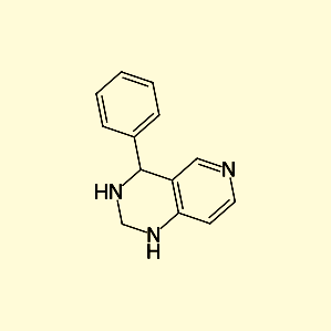 c1ccc(C2NCNc3ccncc32)cc1